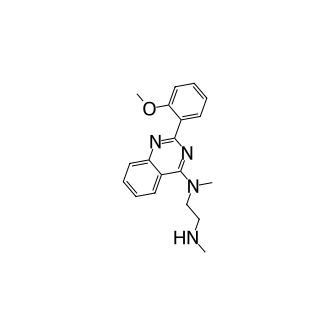 CNCCN(C)c1nc(-c2ccccc2OC)nc2ccccc12